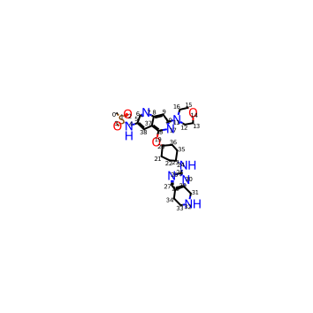 CS(=O)(=O)Nc1cnc2cc(N3CCOCC3)nc(O[C@H]3CC[C@@H](Nc4ncc5c(n4)CNCC5)CC3)c2c1